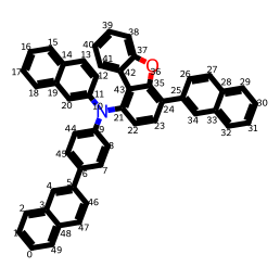 c1ccc2cc(-c3ccc(N(c4ccc5ccccc5c4)c4ccc(-c5ccc6ccccc6c5)c5oc6ccccc6c45)cc3)ccc2c1